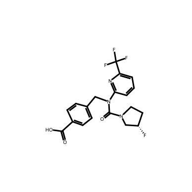 O=C(O)c1ccc(CN(C(=O)N2CC[C@H](F)C2)c2cccc(C(F)(F)F)n2)cc1